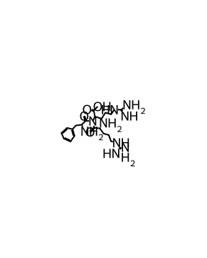 N=C(N)NCCCC(N)C(=O)N(C(=O)C(N)Cc1ccccc1)C(CCCNC(=N)N)C(=O)O